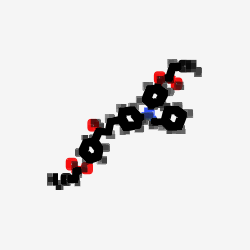 C=CC(=O)Oc1ccc(C(=O)CCc2ccc(N(Cc3ccccc3)c3ccc(OC(=O)C=C)cc3)cc2)cc1